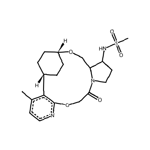 Cc1ccnc2c1[C@H]1CC[C@H](CC1)OCC1C(NS(C)(=O)=O)CCN1C(=O)CO2